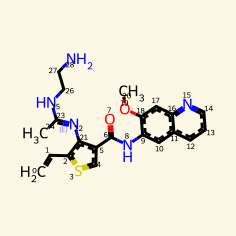 C=Cc1scc(C(=O)Nc2cc3cccnc3cc2OC)c1/N=C(\C)NCCN